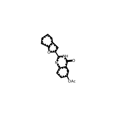 CC(=O)Oc1ccc2nc(-c3cc4ccccc4o3)[nH]c(=O)c2c1